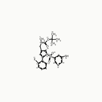 CN(Cc1cc(-c2ccccc2F)n(S(=O)(=O)c2cncc(S)c2)c1)C(=O)OC(C)(C)C